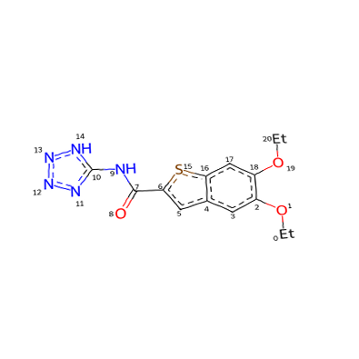 CCOc1cc2cc(C(=O)Nc3nnn[nH]3)sc2cc1OCC